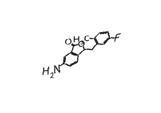 Cc1ccc(F)cc1CC1OC(=O)c2cc(N)ccc21